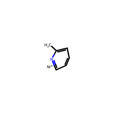 Cc1ccccn1.[Ni+2]